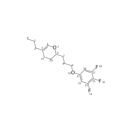 CCCC1=COC(CCCOc2cc(F)c(F)c(F)c2)CC1